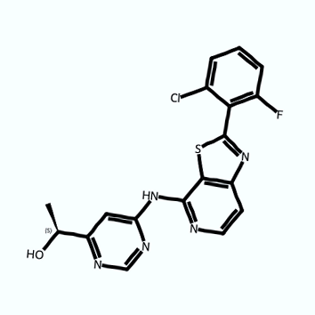 C[C@H](O)c1cc(Nc2nccc3nc(-c4c(F)cccc4Cl)sc23)ncn1